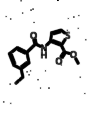 CCc1cccc(C(=O)Nc2ccsc2C(=O)OC)c1